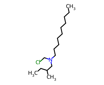 CCCCCCCCCCN(CCl)CC(C)CC